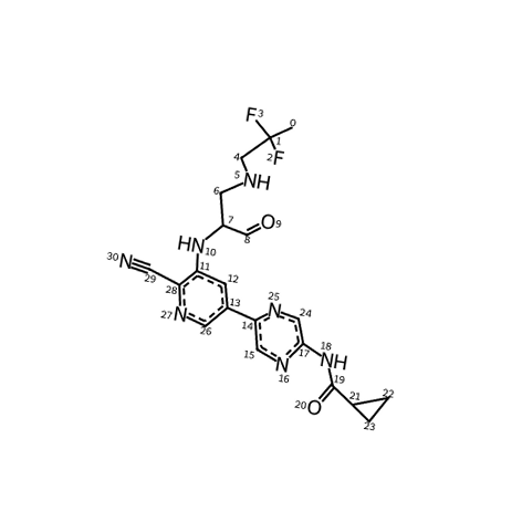 CC(F)(F)CNCC(C=O)Nc1cc(-c2cnc(NC(=O)C3CC3)cn2)cnc1C#N